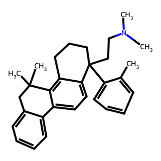 Cc1ccccc1C1(CCN(C)C)CCCc2c1ccc1c2C(C)(C)Cc2ccccc2-1